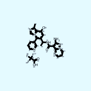 Cc1ncn2c(-c3cccnc3)c(C(C)NC(=O)c3c(N)nn4cccnc34)cc(Cl)c12.O=C(O)C(F)(F)F